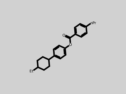 CCCc1ccc(C(=O)Oc2ccc(C3CCC(CC)CC3)cc2)cc1